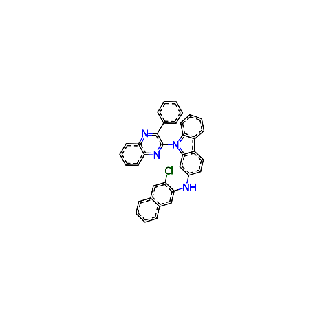 Clc1cc2ccccc2cc1Nc1ccc2c3ccccc3n(-c3nc4ccccc4nc3-c3ccccc3)c2c1